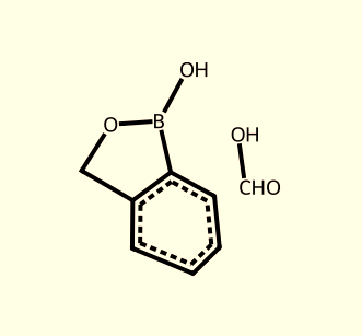 O=CO.OB1OCc2ccccc21